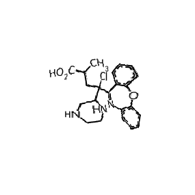 CC(CC(Cl)(C1=Nc2ccccc2Oc2ccccc21)C1CNCCN1)C(=O)O